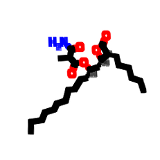 CCCCCCCCCCC[C@@H](C[C@@H]1OC(=O)[C@H]1CCCCCC)OC(=O)C(C)C(N)=O